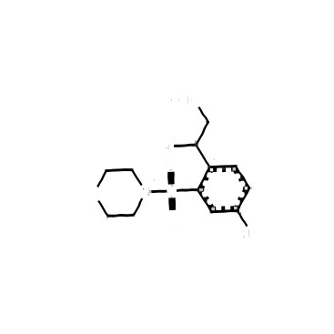 O=CCC(Br)c1ccc(F)cc1S(=O)(=O)N1CCOCC1